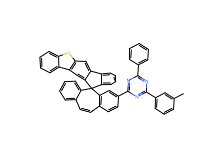 Cc1cccc(-c2nc(-c3ccccc3)nc(-c3ccc4c(c3)C3(c5ccccc5C=C4)c4ccccc4-c4cc5sc6ccccc6c5cc43)n2)c1